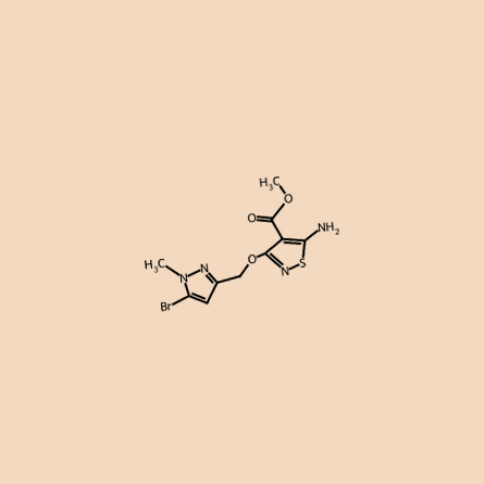 COC(=O)c1c(OCc2cc(Br)n(C)n2)nsc1N